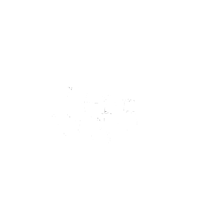 COc1ccccc1C(=O)NC(C(=NS(C)(=O)=O)Oc1ccccc1)C1(c2ccccc2)CCNCC1